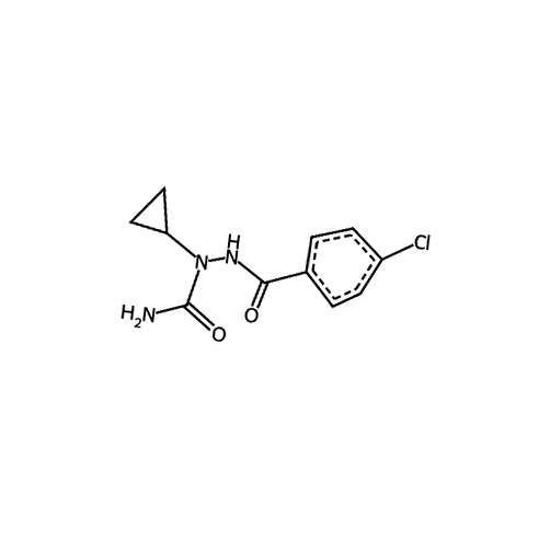 NC(=O)N(NC(=O)c1ccc(Cl)cc1)C1CC1